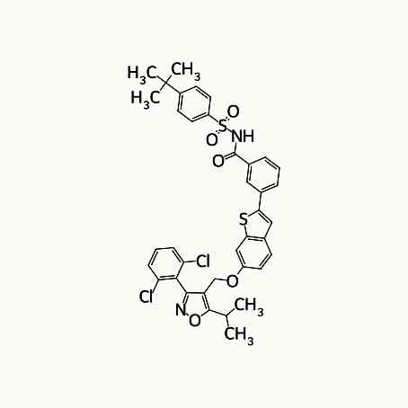 CC(C)c1onc(-c2c(Cl)cccc2Cl)c1COc1ccc2cc(-c3cccc(C(=O)NS(=O)(=O)c4ccc(C(C)(C)C)cc4)c3)sc2c1